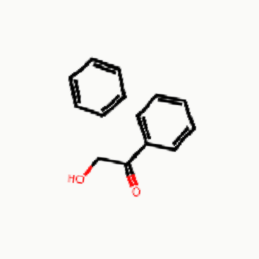 O=C(CO)c1ccccc1.c1ccccc1